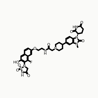 Cn1c(=O)n([C@@H]2CCC(=O)NC2=O)c2ccc(C3CCN(CC(=O)NCCOc4ccc5cc(O)c(N6CC(=O)NS6(=O)=O)c(F)c5c4)CC3)cc21